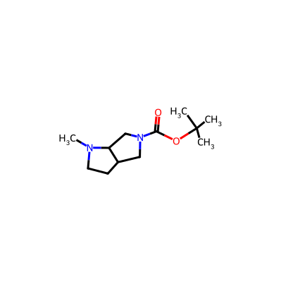 CN1CCC2CN(C(=O)OC(C)(C)C)CC21